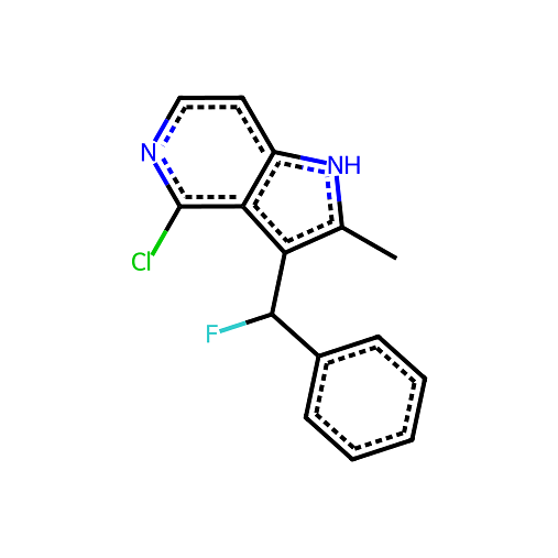 Cc1[nH]c2ccnc(Cl)c2c1C(F)c1ccccc1